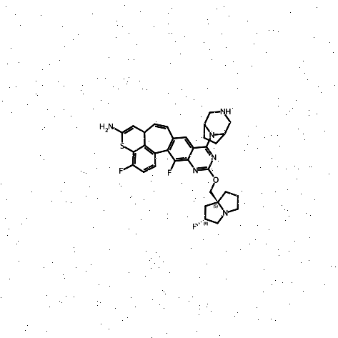 NC1=CC2C=Cc3cc4c(N5C6CCC5CNC6)nc(OC[C@@]56CCCN5C[C@H](F)C6)nc4c(F)c3-c3ccc(F)c(c32)S1